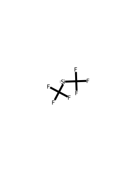 FC(F)(F)[Si]C(F)(F)F